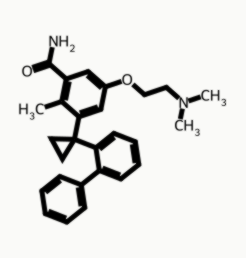 Cc1c(C(N)=O)cc(OCCN(C)C)cc1C1(c2ccccc2-c2ccccc2)CC1